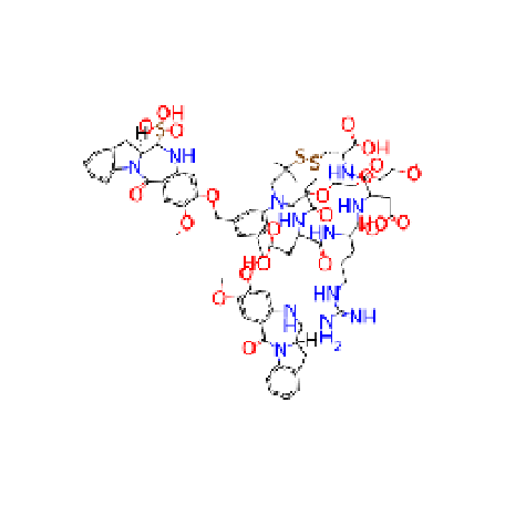 CCC(=O)N[C@H](CC(=O)O)C(=O)N[C@H](CCCNC(=N)N)C(=O)N[C@H](CC(=O)O)C(=O)N[C@H](CSSC(C)(C)CN(CCOCCOCCOC)c1cc(COc2cc3c(cc2OC)C(=O)N2c4ccccc4C[C@H]2CN3)cc(COc2cc3c(cc2OC)C(=O)N2c4ccccc4C[C@H]2C(S(=O)(=O)O)N3)c1)C(=O)O